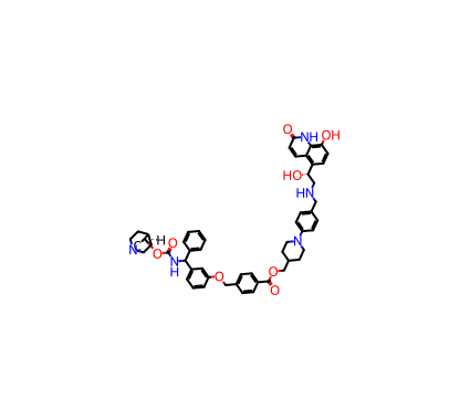 O=C(NC(c1ccccc1)c1cccc(OCc2ccc(C(=O)OCC3CCN(c4ccc(CNC[C@H](O)c5ccc(O)c6[nH]c(=O)ccc56)cc4)CC3)cc2)c1)O[C@H]1CN2CCC1CC2